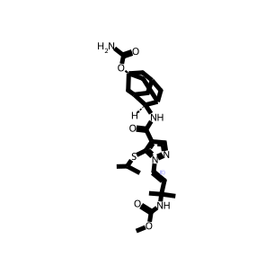 COC(=O)NC(C)(C)/C=C/n1ncc(C(=O)N[C@H]2C3CC4CC2C[C@](OC(N)=O)(C4)C3)c1SC(C)C